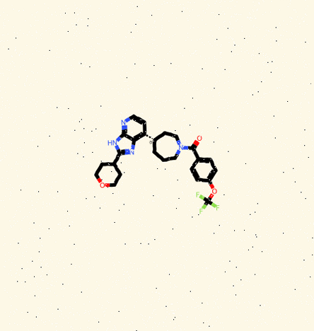 O=C(c1ccc(OC(F)(F)F)cc1)N1CCC[C@H](c2ccnc3[nH]c(C4CCOCC4)nc23)CC1